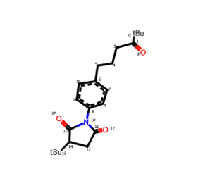 CC(C)(C)C(=O)CCCc1ccc(N2C(=O)CC(C(C)(C)C)C2=O)cc1